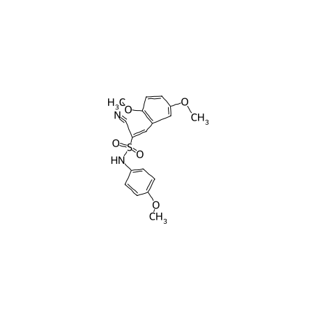 COc1ccc(NS(=O)(=O)C(C#N)=Cc2cc(OC)ccc2OC)cc1